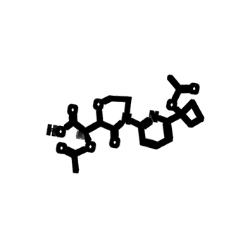 CC(=O)O[C@@H](C(=O)O)C1OCCN(c2cccc(C3(OC(C)=O)CCC3)n2)C1=O